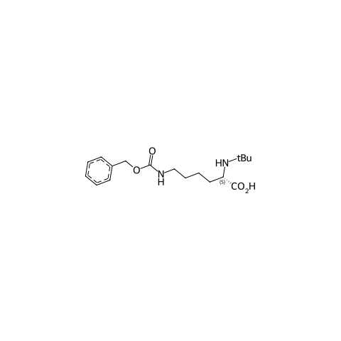 CC(C)(C)N[C@@H](CCCCNC(=O)OCc1ccccc1)C(=O)O